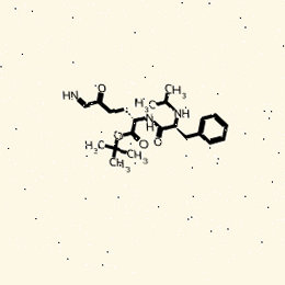 CC(C)N[C@@H](Cc1ccccc1)C(=O)N[C@@H](CCC(=O)C=N)C(=O)OC(C)(C)C